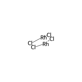 [Cl][Rh][Cl].[Cl][Rh][Cl]